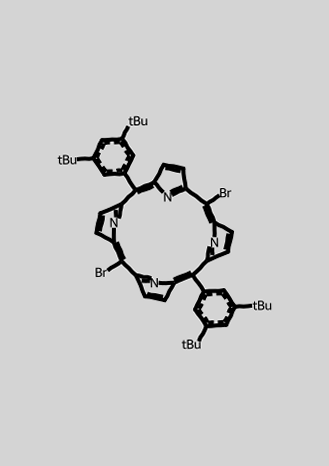 CC(C)(C)c1cc(C2=C3C=CC(=N3)C(Br)=C3C=CC(=N3)C(c3cc(C(C)(C)C)cc(C(C)(C)C)c3)=C3C=CC(=N3)C(Br)=C3C=CC2=N3)cc(C(C)(C)C)c1